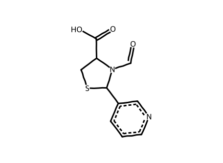 O=CN1C(C(=O)O)CSC1c1cccnc1